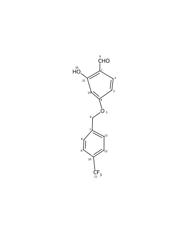 O=Cc1ccc(OCc2ccc(C(F)(F)F)cc2)cc1O